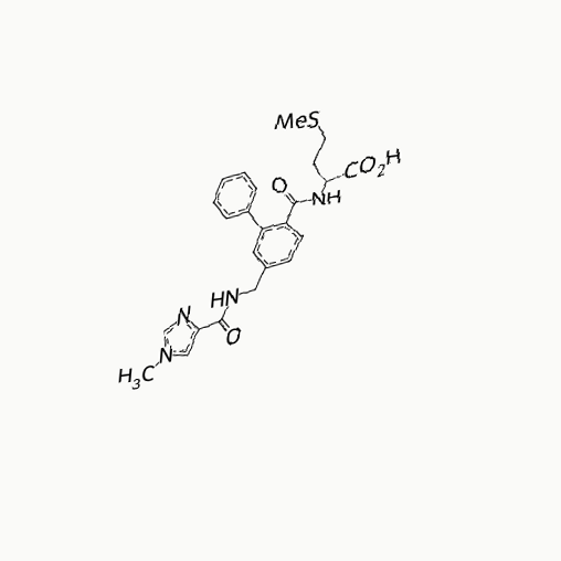 CSCCC(NC(=O)c1ccc(CNC(=O)c2cn(C)cn2)cc1-c1ccccc1)C(=O)O